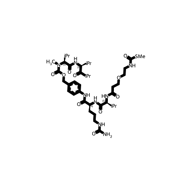 CSC(=O)NCCOCCC(=O)N[C@H](C(=O)N[C@@H](CCCNC(N)=O)C(=O)Nc1ccc(COC(=O)N(C)[C@H](C(=O)N[C@H](C(=O)C(C)C)C(C)C)C(C)C)cc1)C(C)C